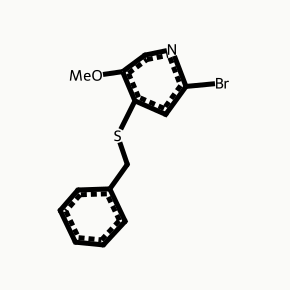 COc1cnc(Br)cc1SCc1ccccc1